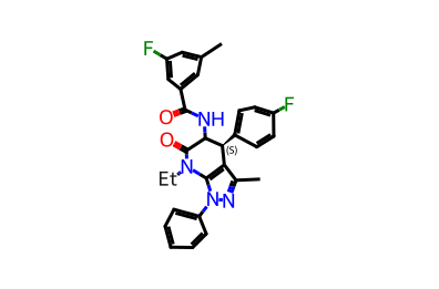 CCN1C(=O)C(NC(=O)c2cc(C)cc(F)c2)[C@@H](c2ccc(F)cc2)c2c(C)nn(-c3ccccc3)c21